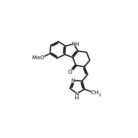 COc1ccc2[nH]c3c(c2c1)C(=O)/C(=C\c1nc[nH]c1C)CC3